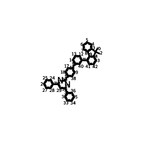 CC1(C)c2ccccc2-c2c(-c3cccc(-c4ccc(-c5nc(-c6ccccc6)cc(-c6ccccc6)n5)cc4)c3)cccc21